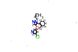 CCCn1nccc1C1=C(COc2cncc(Cl)c2)CCCC1